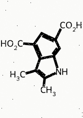 Cc1[nH]c2cc(C(=O)O)cc(C(=O)O)c2c1C